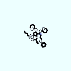 C#C[C@@H](Cl)C[C@H]1[C@H](/C(=C\CCOc2ccccc2)OC2CCCCO2)[C@@H](OC2CCCCO2)C[C@H]1O[Si](C)(C)CCCC